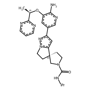 CC(C)NC(=O)N1CC[C@@]2(CCn3nc(-c4cnc(N)c(O[C@H](C)c5ncccn5)c4)cc32)C1